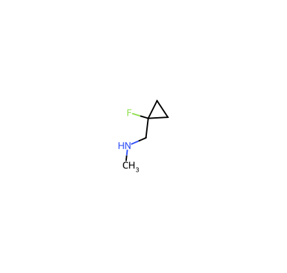 CNCC1(F)CC1